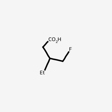 CCC(CF)CC(=O)O